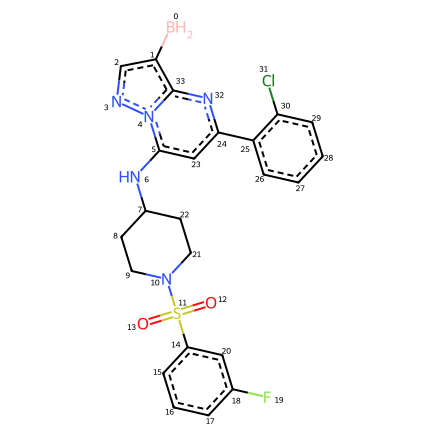 Bc1cnn2c(NC3CCN(S(=O)(=O)c4cccc(F)c4)CC3)cc(-c3ccccc3Cl)nc12